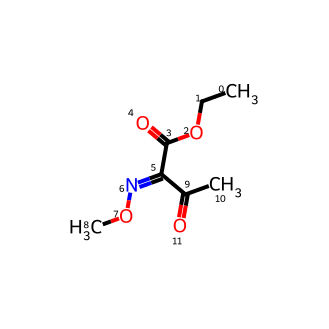 CCOC(=O)/C(=N/OC)C(C)=O